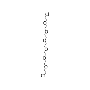 ClCCOCCOCCOCCOCCOCCOCCCl